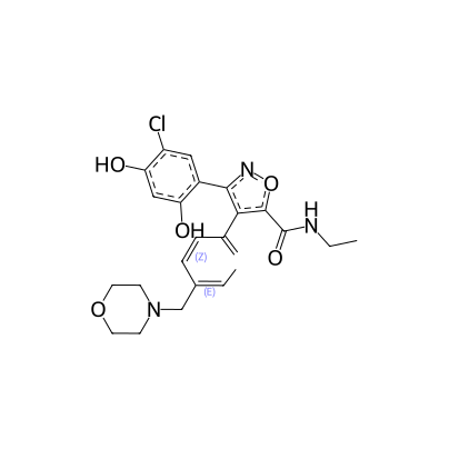 C=C(/C=C\C(=C/C)CN1CCOCC1)c1c(-c2cc(Cl)c(O)cc2O)noc1C(=O)NCC